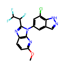 COc1ccc2nc(C(F)C(F)F)n(-c3cc(Cl)c4[nH]ncc4c3)c2n1